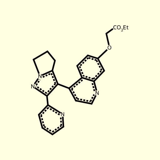 CCOC(=O)COc1ccc2c(-c3c(-c4ccccn4)nn4c3CCC4)ccnc2c1